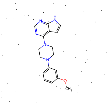 COc1cccc(N2CCN(c3ncnc4[nH]ccc34)CC2)c1